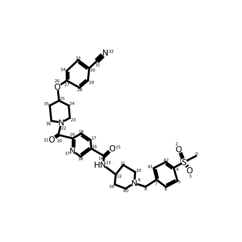 CS(=O)(=O)c1ccc(CN2CCC(NC(=O)c3ccc(C(=O)N4CCC(Oc5ccc(C#N)cc5)CC4)nc3)CC2)cc1